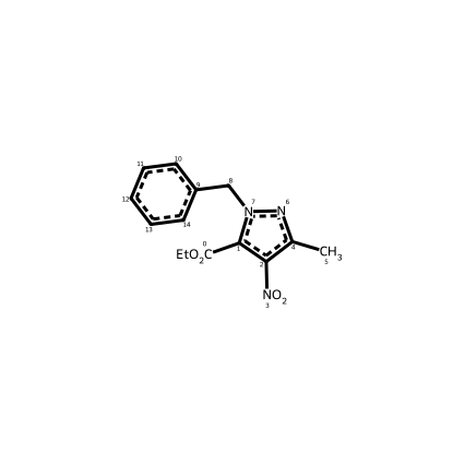 CCOC(=O)c1c([N+](=O)[O-])c(C)nn1Cc1ccccc1